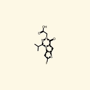 CC(C)c1nn(CC(=O)O)c(=O)c2cc3sc(F)cc3n12